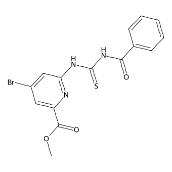 COC(=O)c1cc(Br)cc(NC(=S)NC(=O)c2ccccc2)n1